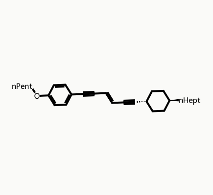 CCCCCCC[C@H]1CC[C@H](C#C/C=C/C#Cc2ccc(OCCCCC)cc2)CC1